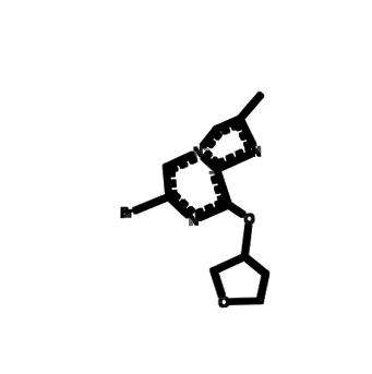 Cc1cn2cc(Br)nc(OC3CCOC3)c2n1